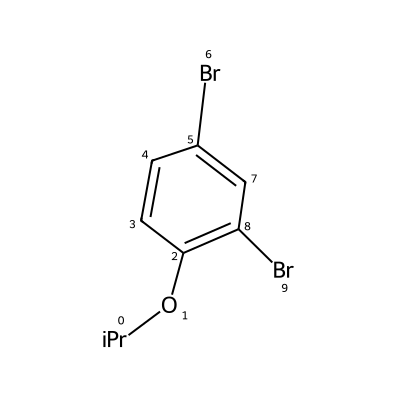 CC(C)Oc1ccc(Br)cc1Br